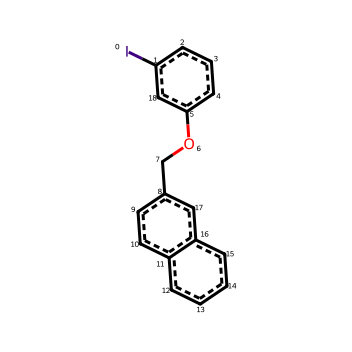 Ic1cccc(OCc2ccc3ccccc3c2)c1